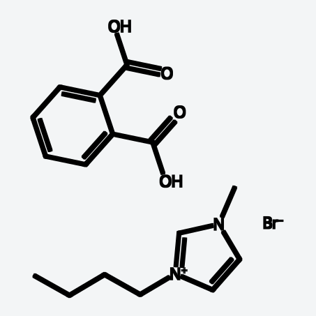 CCCC[n+]1ccn(C)c1.O=C(O)c1ccccc1C(=O)O.[Br-]